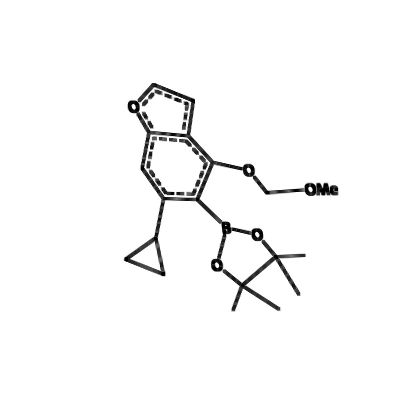 COCOc1c(B2OC(C)(C)C(C)(C)O2)c(C2CC2)cc2occc12